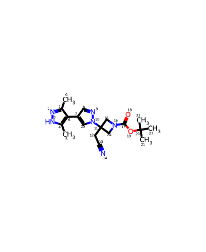 Cc1n[nH]c(C)c1-c1cnn(C2(CC#N)CN(C(=O)OC(C)(C)C)C2)c1